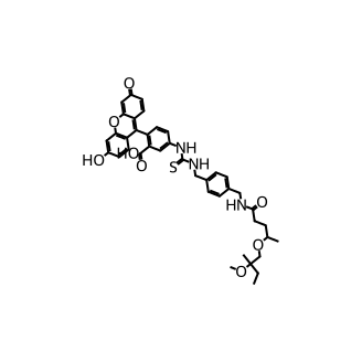 CCC(C)(COC(C)CCC(=O)NCc1ccc(CNC(=S)Nc2ccc(-c3c4ccc(=O)cc-4oc4cc(O)ccc34)c(C(=O)O)c2)cc1)OC